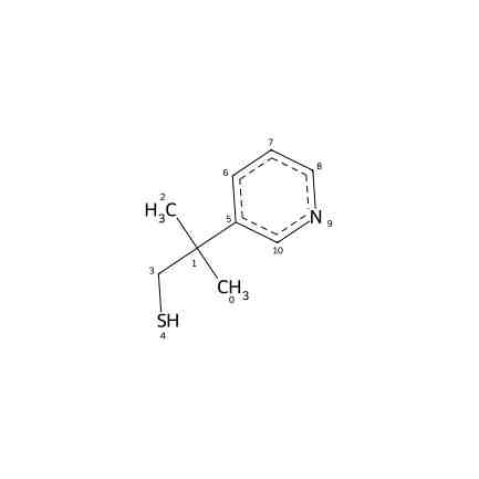 CC(C)(CS)c1cccnc1